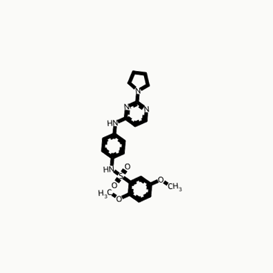 COc1ccc(OC)c(S(=O)(=O)Nc2ccc(Nc3ccnc(N4CCCC4)n3)cc2)c1